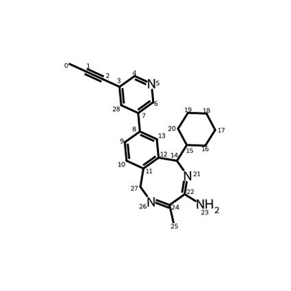 CC#Cc1cncc(-c2ccc3c(c2)C(C2CCCCC2)/N=C(N)\C(C)=N/C3)c1